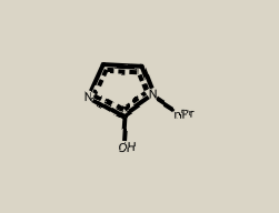 CCCn1ccnc1O